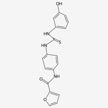 O=C(Nc1ccc(NC(=S)Nc2cccc(O)c2)cc1)c1ccco1